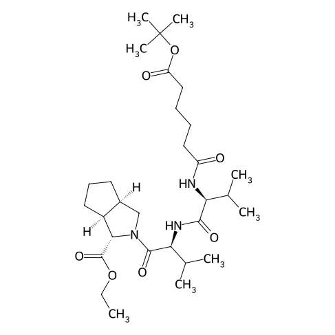 CCOC(=O)[C@@H]1[C@H]2CCC[C@H]2CN1C(=O)[C@@H](NC(=O)[C@@H](NC(=O)CCCCC(=O)OC(C)(C)C)C(C)C)C(C)C